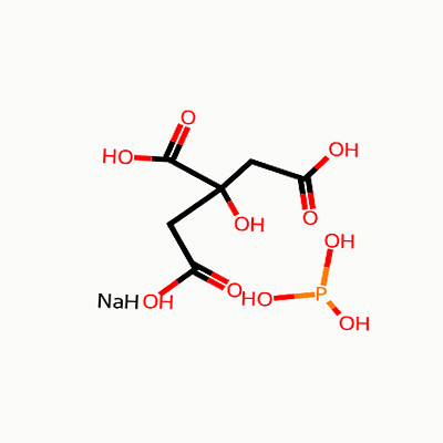 O=C(O)CC(O)(CC(=O)O)C(=O)O.OP(O)O.[NaH]